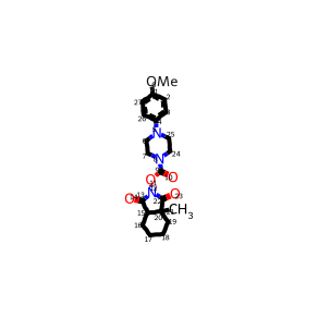 COc1ccc(N2CCN(C(=O)ON3C(=O)C4CCCCC4(C)C3=O)CC2)cc1